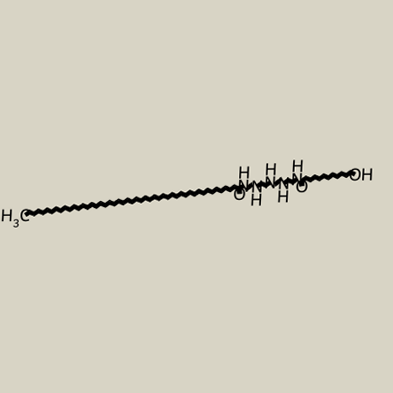 CCCCCCCCCCCCCCCCCCCCCCCCCCCCCCCCCCCCCCCCCCCCCCCCC(=O)NCCNCCNCCNCCNC(=O)CCCCCCCCCCCO